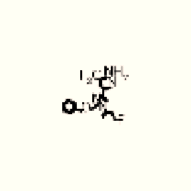 C=C(CCF)n1cc(-c2cnc(N)c(C(F)(F)F)c2)nc1COCc1ccccc1